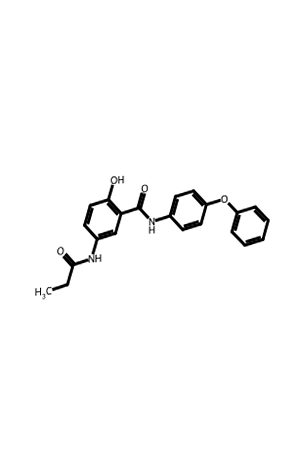 CCC(=O)Nc1ccc(O)c(C(=O)Nc2ccc(Oc3ccccc3)cc2)c1